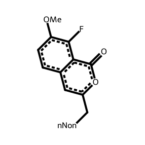 CCCCCCCCCCc1cc2ccc(OC)c(F)c2c(=O)o1